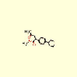 COC(=O)C(CC(C)=O)c1ccc(C2CCCCC2)cc1